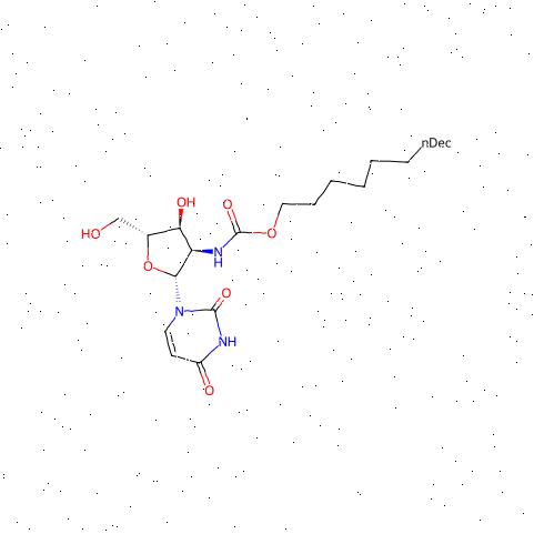 CCCCCCCCCCCCCCCCOC(=O)N[C@@H]1[C@H](O)[C@@H](CO)O[C@H]1n1ccc(=O)[nH]c1=O